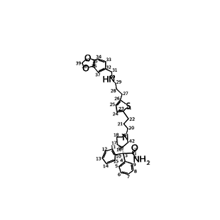 NC(=O)C(c1ccccc1)(c1ccccc1)[C@@H]1CCN(CCCc2ccc(CCCNCc3ccc4c(c3)OCO4)s2)C1